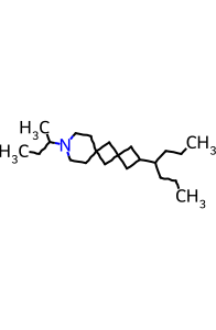 CCCC(CCC)C1CC2(C1)CC1(CCN(C(C)CC)CC1)C2